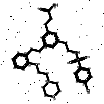 O=C(O)CCc1cc(CCNS(=O)(=O)c2ccc(Cl)cc2)cc(CCc2ccccc2OCCN2CCOCC2)c1